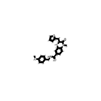 COc1ccc(CNC(=O)c2ccc3c(c2)SC(Cc2ccco2)C(=O)N3C)cc1